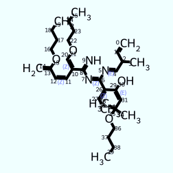 C=CC(C)/C=N/C(=N\C(=N)C(/C=C\C(=C)OCCCC)=C\OCCCC)C(=C/C)/C(O)=C\C(C)(C)OCCCC